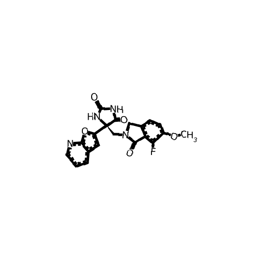 COc1ccc2c(c1F)C(=O)N(C[C@@]1(c3cc4cccnc4o3)NC(=O)NC1=O)C2